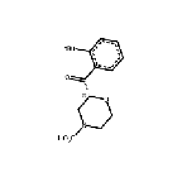 CC(C)(C)c1ccccc1C(=O)[C@H]1CN(C(=O)O)CCO1